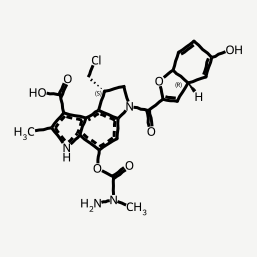 Cc1[nH]c2c(OC(=O)N(C)N)cc3c(c2c1C(=O)O)[C@H](CCl)CN3C(=O)C1=C[C@H]2C=C(O)C=CC2O1